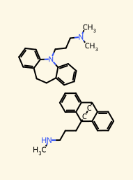 CN(C)CCCN1c2ccccc2CCc2ccccc21.CNCCCC12CCC(c3ccccc31)c1ccccc12